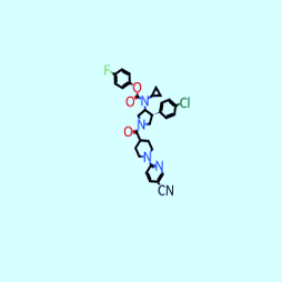 N#Cc1ccc(N2CCC(C(=O)N3C[C@@H](N(C(=O)Oc4ccc(F)cc4)C4CC4)[C@H](c4ccc(Cl)cc4)C3)CC2)nc1